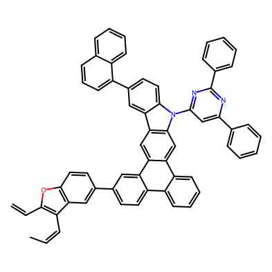 C=Cc1oc2ccc(-c3ccc4c5ccccc5c5cc6c(cc5c4c3)c3cc(-c4cccc5ccccc45)ccc3n6-c3cc(-c4ccccc4)nc(-c4ccccc4)n3)cc2c1/C=C\C